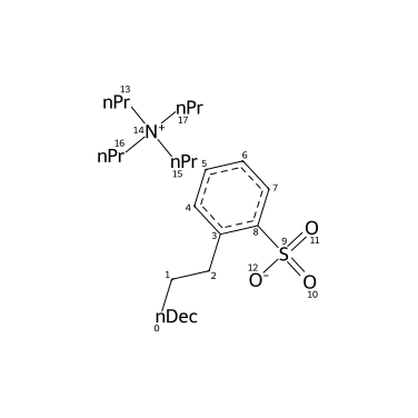 CCCCCCCCCCCCc1ccccc1S(=O)(=O)[O-].CCC[N+](CCC)(CCC)CCC